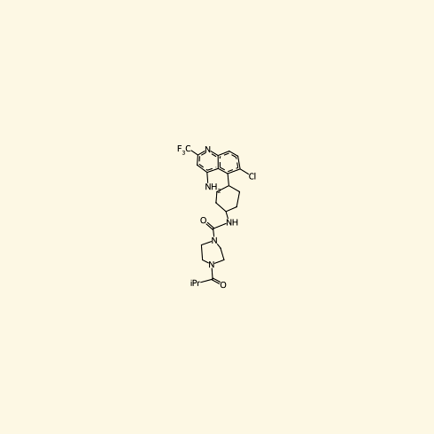 CC(C)C(=O)N1CCN(C(=O)NC2CCC(c3c(Cl)ccc4nc(C(F)(F)F)cc(N)c34)CC2)CC1